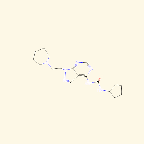 O=C(Nc1ncnc2c1cnn2CCN1CCCCC1)NC1CCCC1